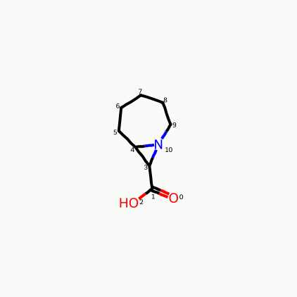 O=C(O)C1C2CCCCCN21